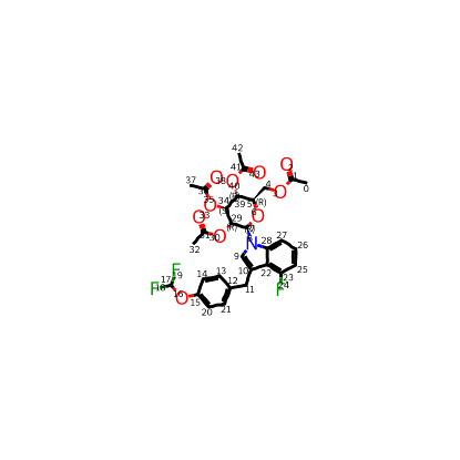 CC(=O)OC[C@H]1O[C@@H](n2cc(Cc3ccc(OC(F)F)cc3)c3c(F)cccc32)[C@H](OC(C)=O)[C@@H](OC(C)=O)[C@@H]1OC(C)=O